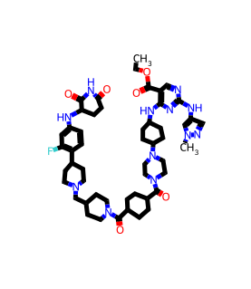 CCOC(=O)c1cnc(Nc2cnn(C)c2)nc1NC1CCC(N2CCN(C(=O)C3CCC(C(=O)N4CCC(CN5CCC(c6ccc(NC7CCC(=O)NC7=O)cc6F)CC5)CC4)CC3)CC2)CC1